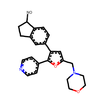 O=NC1CCc2cc(-c3cc(CN4CCOCC4)oc3-c3ccncc3)ccc21